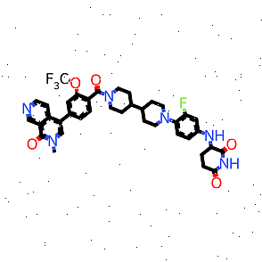 Cn1cc(-c2ccc(C(=O)N3CCC(C4CCN(c5ccc(NC6CCC(=O)NC6=O)cc5F)CC4)CC3)c(OC(F)(F)F)c2)c2ccncc2c1=O